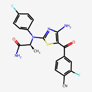 C[C@@H](C(N)=O)N(c1ccc(F)cc1)c1nc(N)c(C(=O)c2ccc(C#N)c(F)c2)s1